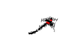 C#CCOCCOCCOCCOCCNC(=O)OCCO[C@@H]([C@@H]1OC(C(=O)O)=C[C@H](NC(=N)N)[C@H]1NC(C)=O)[C@H](O)CO